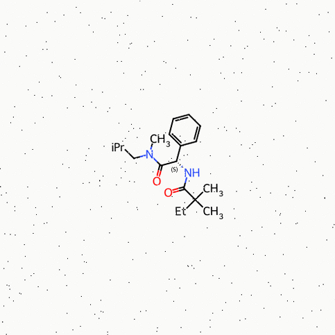 CCC(C)(C)C(=O)N[C@H](C(=O)N(C)CC(C)C)c1ccccc1